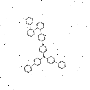 c1ccc(-c2ccc(N(c3ccc(-c4ccccc4)cc3)c3ccc(-c4ccc(-c5ccccc5-c5ccccc5-c5ccccc5)cc4)cc3)cc2)cc1